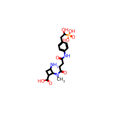 CN(C(=O)CCC(=O)Nc1ccc(CC(O)P(=O)(O)O)cc1)C1C(N)CC1C(=O)O